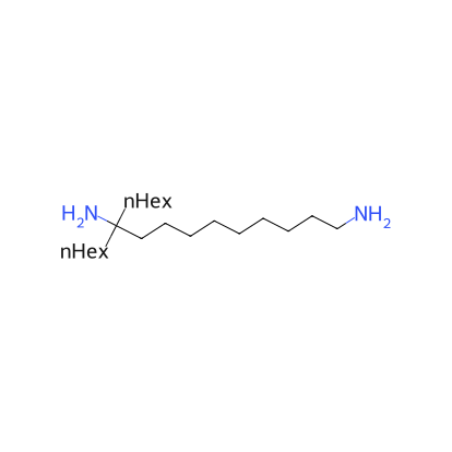 CCCCCCC(N)(CCCCCC)CCCCCCCCCN